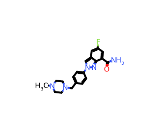 CN1CCN(Cc2ccc(-n3cc4cc(F)cc(C(N)=O)c4n3)cc2)CC1